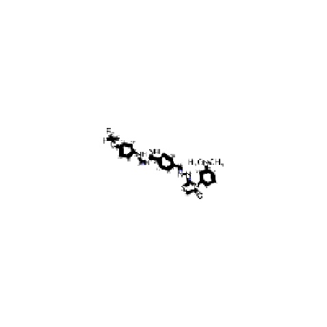 CN(C)c1cccc(N2C(=O)CS/C2=N\N=C\c2ccc(C(=N)/N=C\Nc3ccc(OC(F)(F)F)cc3)cc2)c1